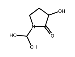 O=C1C(O)CCN1C(O)O